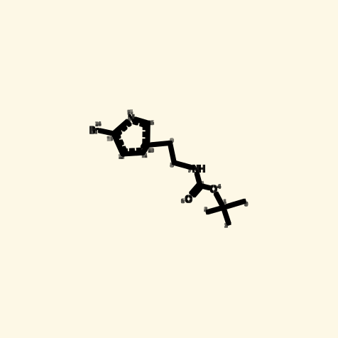 CC(C)(C)OC(=O)NCCc1ccc(Br)nc1